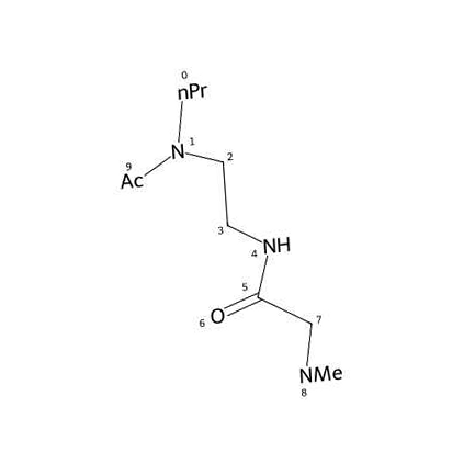 CCCN(CCNC(=O)CNC)C(C)=O